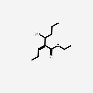 CC/C=C(\C(=O)OCC)C(O)CCC